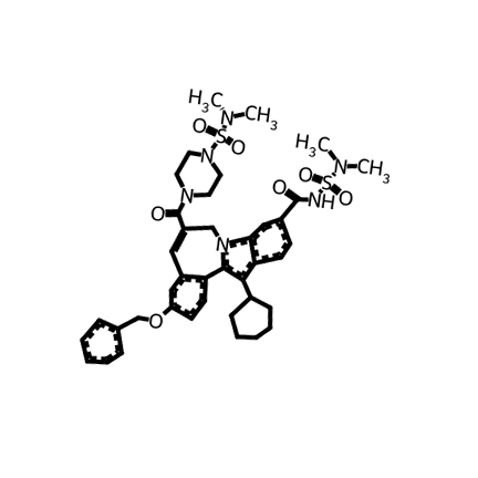 CN(C)S(=O)(=O)NC(=O)c1ccc2c(C3CCCCC3)c3n(c2c1)CC(C(=O)N1CCN(S(=O)(=O)N(C)C)CC1)=Cc1cc(OCc2ccccc2)ccc1-3